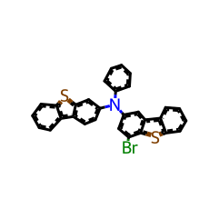 Brc1cc(N(c2ccccc2)c2ccc3c(c2)sc2ccccc23)cc2c1sc1ccccc12